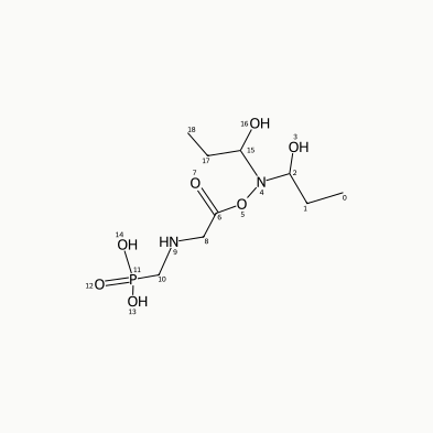 CCC(O)N(OC(=O)CNCP(=O)(O)O)C(O)CC